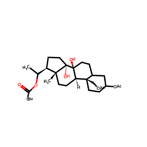 CC(=O)OC[C@]12CCC(OC(C)=O)CC1CC[C@]1(O)[C@@H]2CC[C@]2(C)[C@@H](C(C)OC(=O)C(C)(C)C)CC[C@]21O